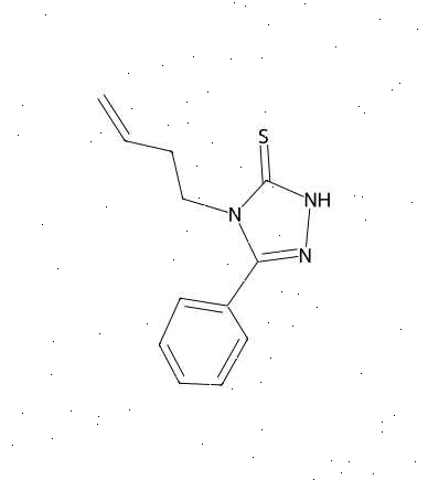 C=CCCn1c(-c2ccccc2)n[nH]c1=S